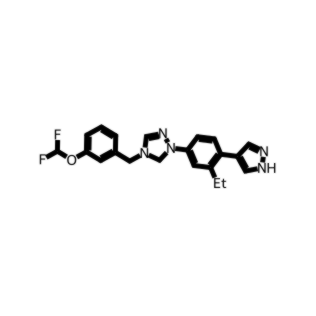 CCc1cc(N2CN(Cc3cccc(OC(F)F)c3)C=N2)ccc1-c1cn[nH]c1